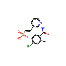 Cc1cc(Br)ccc1C(N)=O.O=S(=O)(O)C=Cc1cccnc1